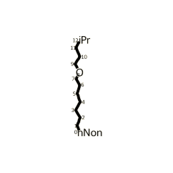 CCCCCCCCCCCCCCCCOCCCC(C)C